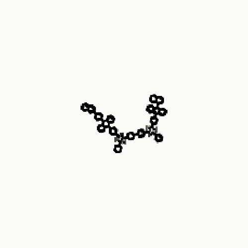 c1ccc(-c2nc(-c3ccc(-c4ccc(-c5nc(-c6ccccc6)nc(-c6ccc(-c7c8ccccc8c(-c8cccc9ccccc89)c8ccccc78)cc6)n5)cc4)cc3)nc(-c3ccc(-c4c5ccccc5c(-c5ccc(-c6ccc7ccccc7c6)cc5)c5ccccc45)cc3)n2)cc1